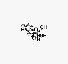 CO[C@@H]1[C@H](NO)[C@@H](CO)O[C@H]1n1ccc(=O)[nH]c1=O